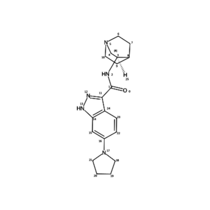 O=C(N[C@H]1CN2CCC1CC2)c1n[nH]c2cc(N3CCCC3)ccc12